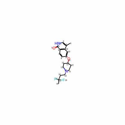 Cc1c[nH]c(=O)c2ccc(OC3CCN(CCC(C)(F)F)CC3)cc12